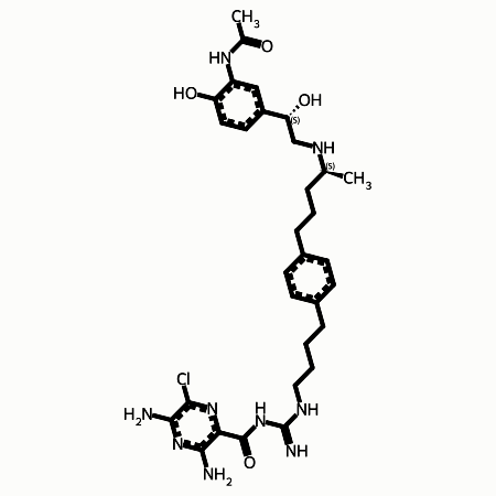 CC(=O)Nc1cc([C@H](O)CN[C@@H](C)CCCc2ccc(CCCCNC(=N)NC(=O)c3nc(Cl)c(N)nc3N)cc2)ccc1O